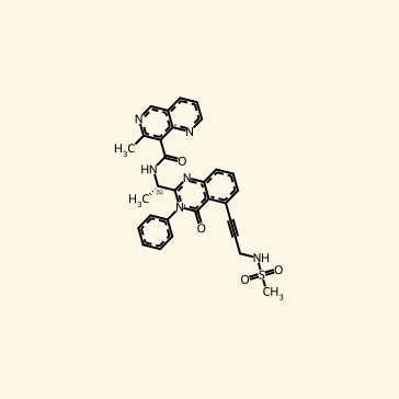 Cc1ncc2cccnc2c1C(=O)N[C@@H](C)c1nc2cccc(C#CCNS(C)(=O)=O)c2c(=O)n1-c1ccccc1